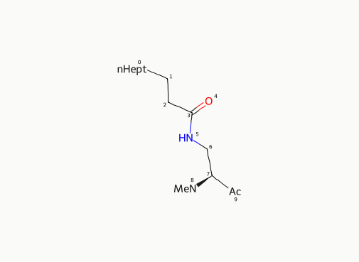 CCCCCCCCCC(=O)NC[C@H](NC)C(C)=O